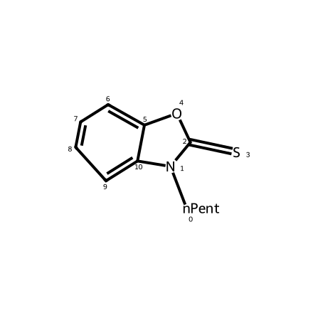 CCCCCn1c(=S)oc2ccccc21